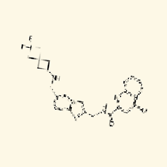 O=C(NCc1cn2cc(CNC3CC4(C3)CC(F)(F)C4)ccc2n1)c1cc(=O)n2ccccc2n1